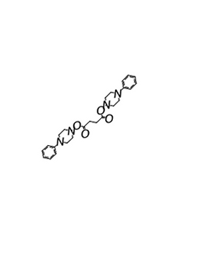 O=C(CCC(=O)ON1CCN(c2ccccc2)CC1)ON1CCN(c2ccccc2)CC1